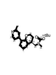 Cc1cc(-c2cccc3c2OCC[C@H]3CN(C)C(=O)OC(C)(C)C)ccn1